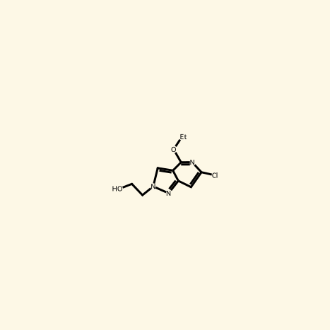 CCOc1nc(Cl)cc2nn(CCO)cc12